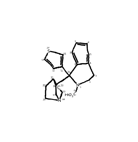 O=C(O)N1CCc2ccccc2C1(c1ccsc1)C1CN2CCC1CC2